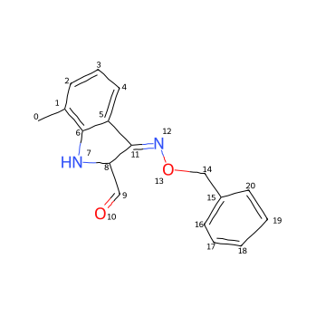 Cc1cccc2c1NC(C=O)C2=NOCc1ccccc1